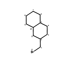 BrCC1CCC2CCCCC2C1